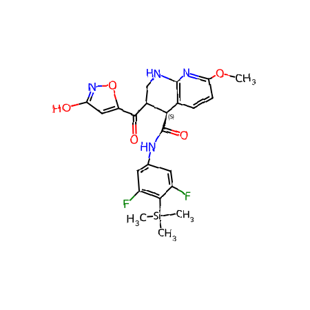 COc1ccc2c(n1)NCC(C(=O)c1cc(O)no1)[C@@H]2C(=O)Nc1cc(F)c([Si](C)(C)C)c(F)c1